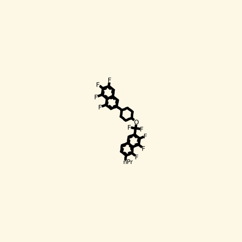 CCCc1ccc2cc(C(F)(F)OC3CCC(c4cc(F)c5c(F)c(F)c(F)cc5c4)CC3)c(F)c(F)c2c1F